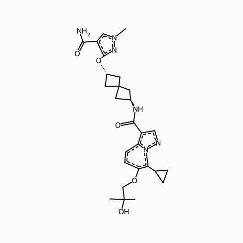 Cn1cc(C(N)=O)c(O[C@H]2CC3(C[C@H](NC(=O)c4cnn5c(C6CC6)c(OCC(C)(C)O)ccc45)C3)C2)n1